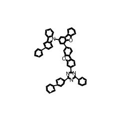 c1ccc(-c2ccc(-c3nc(-c4ccccc4)nc(-c4ccc5c(c4)oc4cc(-c6cc(-n7c8ccccc8c8cc(-c9ccccc9)ccc87)cc7c6oc6ccccc67)ccc45)n3)cc2)cc1